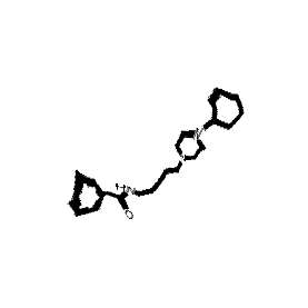 O=C(NCCCN1CCN(C2CCCCC2)CC1)c1ccccc1